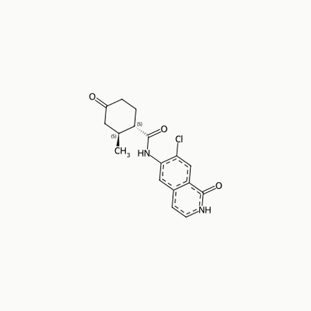 C[C@H]1CC(=O)CC[C@@H]1C(=O)Nc1cc2cc[nH]c(=O)c2cc1Cl